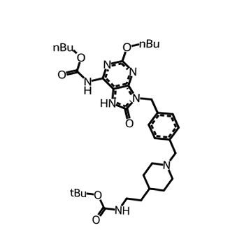 CCCCOC(=O)Nc1nc(OCCCC)nc2c1[nH]c(=O)n2Cc1ccc(CN2CCC(CCNC(=O)OC(C)(C)C)CC2)cc1